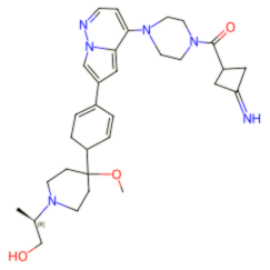 COC1(C2C=CC(c3cc4c(N5CCN(C(=O)C6CC(=N)C6)CC5)ccnn4c3)=CC2)CCN([C@H](C)CO)CC1